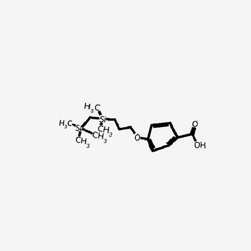 C[Si](C)(C)C[Si](C)(C)CCCOc1ccc(C(=O)O)cc1